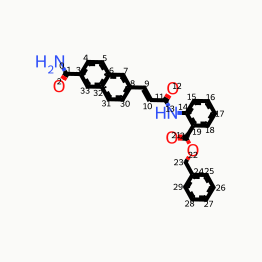 NC(=O)c1ccc2cc(/C=C/C(=O)Nc3ccccc3C(=O)OCc3ccccc3)ccc2c1